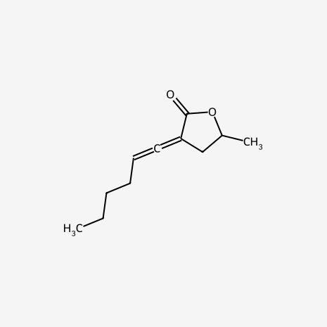 CCCCC=C=C1CC(C)OC1=O